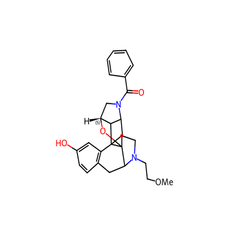 COCCN1CCC23c4cc(O)ccc4CC1C21CCC2C3[C@@H](CN2C(=O)c2ccccc2)O1